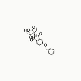 CCC(C(=O)O)(C(=O)O)N1C(=O)c2ccc(OCc3ccccc3)cc2C1=O